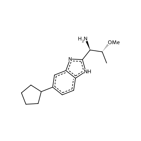 CO[C@H](C)[C@H](N)c1nc2cc(C3CCCC3)ccc2[nH]1